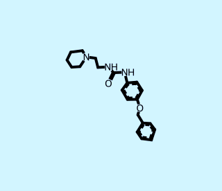 O=C(NCCN1CCCCC1)Nc1ccc(OCc2ccccc2)cc1